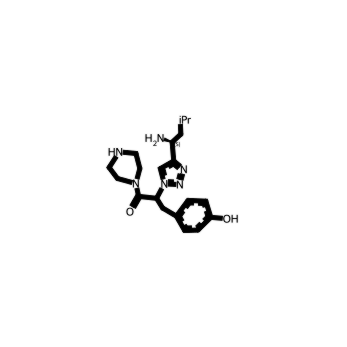 CC(C)C[C@H](N)c1cn(C(Cc2ccc(O)cc2)C(=O)N2CCNCC2)nn1